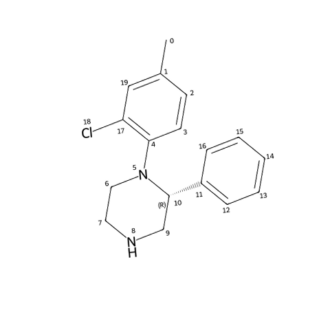 Cc1ccc(N2CCNC[C@H]2c2ccccc2)c(Cl)c1